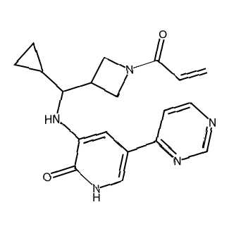 C=CC(=O)N1CC(C(Nc2cc(-c3ccncn3)c[nH]c2=O)C2CC2)C1